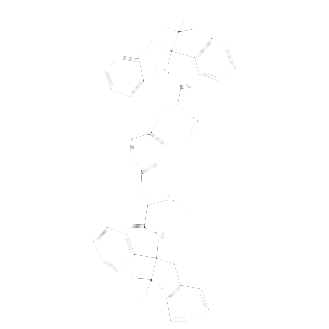 CNC(OC(=O)/C=C\C(=O)OC(NC)C(=O)NC(Cc1ccccc1)(c1ccccc1)C(F)(F)F)C(=O)NC(Cc1ccccc1)(c1ccccc1)C(F)(F)F